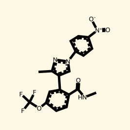 CNC(=O)c1ccc(OC(F)(F)F)cc1-c1cn(-c2ccc([N+](=O)[O-])cc2)nc1C